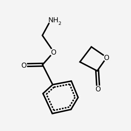 NCOC(=O)c1ccccc1.O=C1CCO1